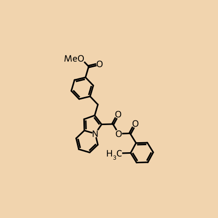 COC(=O)c1cccc(Cc2cc3ccccn3c2C(=O)OC(=O)c2ccccc2C)c1